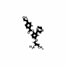 CCCc1ccc(C(=O)Oc2ccc(OCC(C)CC)cc2-c2cnccn2)cc1